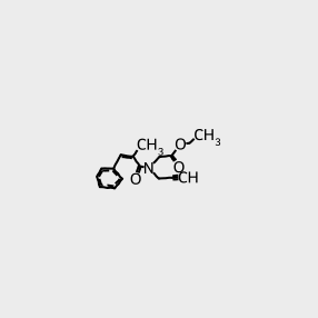 C#CCN(CC(=O)OCC)C(=O)C(C)=Cc1ccccc1